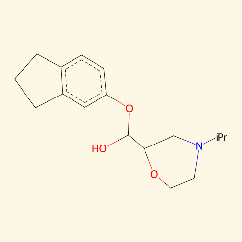 CC(C)N1CCOC(C(O)Oc2ccc3c(c2)CCC3)C1